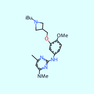 CCC(C)N1CC(COc2cc(Nc3nc(C)cc(NC)n3)ccc2OC)C1